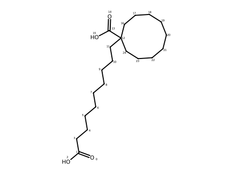 O=C(O)CCCCCCCCCC1(C(=O)O)CCCCCCCCC1